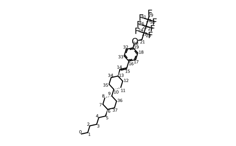 CCCCCC[C@H]1CC[C@H]([C@H]2CC[C@H](C=Cc3ccc(OCC(F)(F)C(F)(F)C(F)(F)F)cc3)CC2)CC1